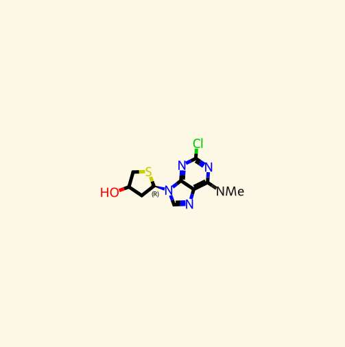 CNc1nc(Cl)nc2c1ncn2[C@H]1CC(O)CS1